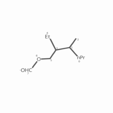 CCCC(C)C(CC)CO[C]=O